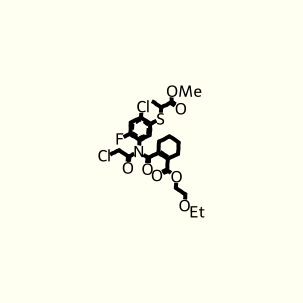 CCOCCOC(=O)C1=C(C(=O)N(C(=O)CCl)c2cc(SC(C)C(=O)OC)c(Cl)cc2F)CCCC1